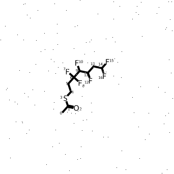 CC(=O)SCCC(F)(F)C(F)C(F)CC(F)F